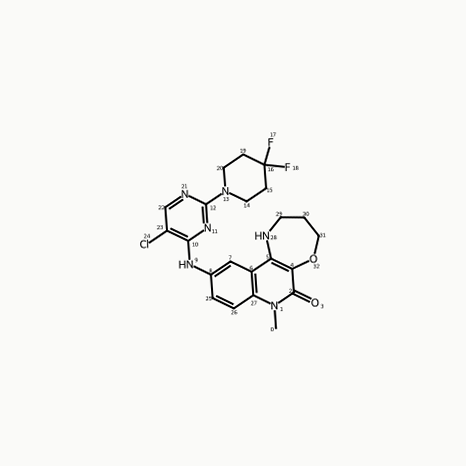 Cn1c(=O)c2c(c3cc(Nc4nc(N5CCC(F)(F)CC5)ncc4Cl)ccc31)NCCCO2